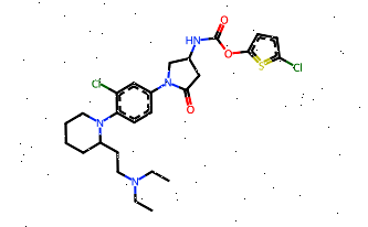 CCN(CC)CCC1CCCCN1c1ccc(N2CC(NC(=O)Oc3ccc(Cl)s3)CC2=O)cc1Cl